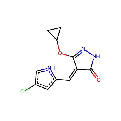 O=C1NN=C(OC2CC2)C1=Cc1cc(Cl)c[nH]1